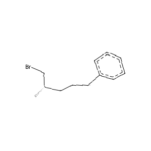 C[C@H](CBr)CC[CH]c1ccccc1